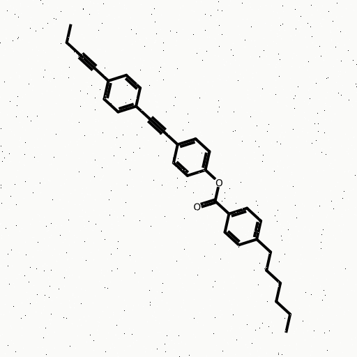 CCC#Cc1ccc(C#Cc2ccc(OC(=O)c3ccc(CCCCCC)cc3)cc2)cc1